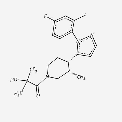 C[C@@H]1CN(C(=O)C(C)(O)C(F)(F)F)CC[C@@H]1c1ccnn1-c1ccc(F)cc1F